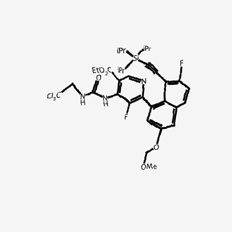 CCOC(=O)c1cnc(-c2cc(OCOC)cc3ccc(F)c(C#C[Si](C(C)C)(C(C)C)C(C)C)c23)c(F)c1NC(=O)NCC(Cl)(Cl)Cl